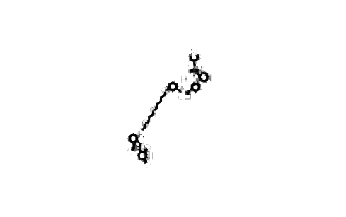 C[C@@H](NC(=O)c1cccc(NC2(c3nnc(-c4ccncc4)[nH]3)CCNCC2)c1)c1cccc(OCCCCCOCCCOCCNc2cccc3c2CN(C2CCC(=O)NC2=O)C3=O)c1